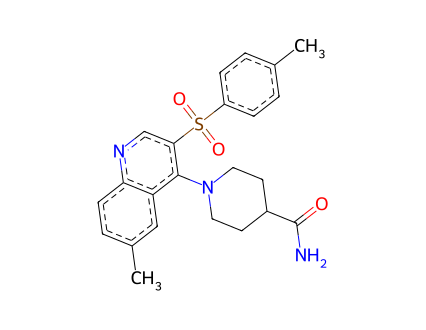 Cc1ccc(S(=O)(=O)c2cnc3ccc(C)cc3c2N2CCC(C(N)=O)CC2)cc1